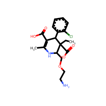 CCC1(C(=O)O)C(COCCN)NC(C)=C(C(=O)O)C1c1ccccc1Cl